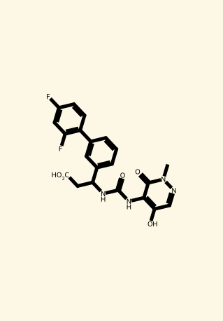 Cn1ncc(O)c(NC(=O)NC(CC(=O)O)c2cccc(-c3ccc(F)cc3F)c2)c1=O